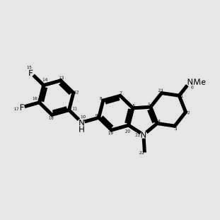 CNC1CCc2c(c3ccc(Nc4ccc(F)c(F)c4)cc3n2C)C1